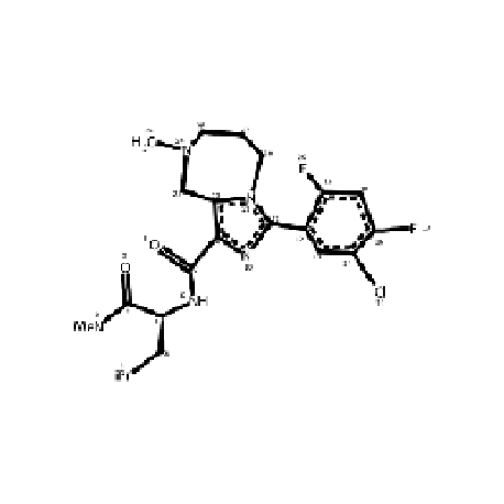 CNC(=O)[C@H](CC(C)C)NC(=O)c1nc(-c2cc(Cl)c(F)cc2F)n2c1CN(C)CCC2